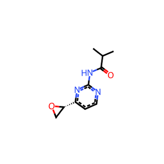 CC(C)C(=O)Nc1nccc([C@@H]2CO2)n1